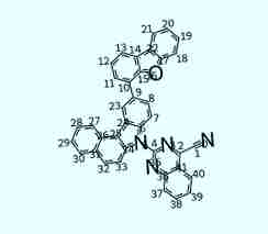 N#Cc1nc(-n2c3ccc(-c4cccc5c4oc4ccccc45)cc3c3c4ccccc4ccc32)nc2ccccc12